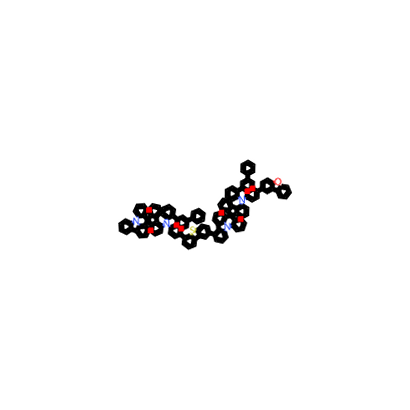 c1ccc(-c2cccc(-c3ccccc3N(c3ccc(-c4cccc5c4sc4ccc(-c6cccc7c6c6cccc8c6n7-c6ccccc6C86c7ccccc7-c7c(N(c8ccc(-c9ccc%10oc%11ccccc%11c%10c9)cc8)c8ccccc8-c8cccc(-c9ccccc9)c8)cccc76)cc45)cc3)c3cccc4c3-c3ccccc3C43c4ccccc4-n4c5ccccc5c5cccc3c54)c2)cc1